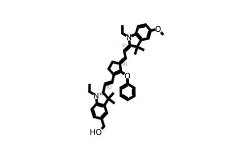 CCN1/C(=C/C=C2\CCC(/C=C/C3=[N+](CC)c4ccc(CO)cc4C3(C)C)=C2Oc2ccccc2)C(C)(C)c2cc(OC)ccc21